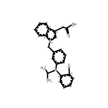 CC(C)N(c1cccc(Cn2cc(CC(=O)O)c3ccccc32)c1)c1ccccc1Cl